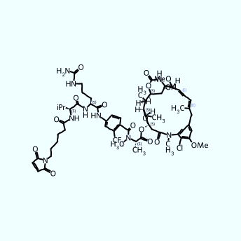 COc1cc2cc(c1Cl)N(C)C(=O)C[C@@]1(OC(=O)[C@H](C)N(C)C(=O)c3ccc(NC(=O)[C@H](CCCNC(N)=O)NC(=O)[C@@H](NC(=O)CCCCCN4C(=O)C=CC4=O)C(C)C)cc3C(F)(F)F)O[C@@H]([C@H](C)[C@@H]3C[C@@](O)(NC(=O)O3)[C@H](OC)/C=C/C=C(\C)C2)[C@@H]1C